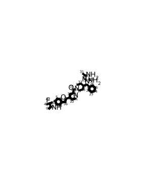 C=C(Nc1ccc2oc(-c3ccnc(C(=O)N4CCC(C(c5ccccc5)N(N)/N=C(/C)N)CC4)c3)cc2c1)C(C)(C)F